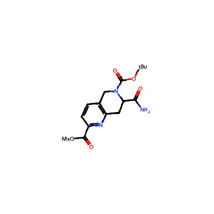 COC(=O)c1ccc2c(n1)CC(C(N)=O)N(C(=O)OC(C)(C)C)C2